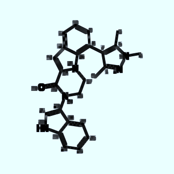 Cc1nn(C)c(C)c1-c1cccc2cc3n(c12)CCN(c1c[nH]c2ccccc12)C3=O